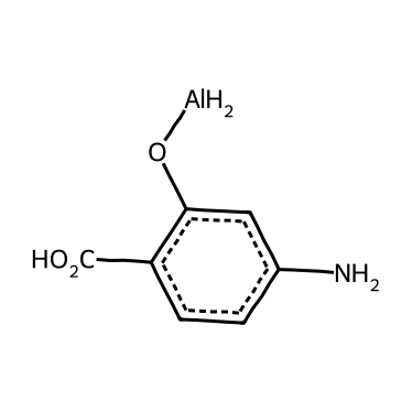 Nc1ccc(C(=O)O)c([O][AlH2])c1